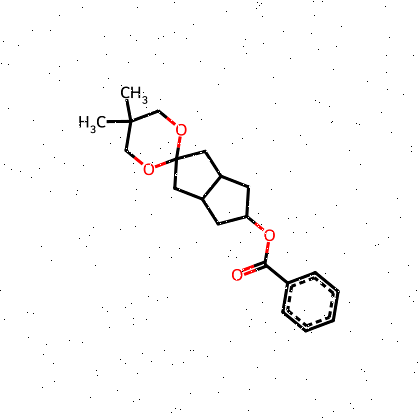 CC1(C)COC2(CC3CC(OC(=O)c4ccccc4)CC3C2)OC1